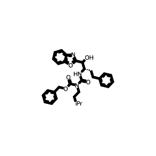 CC(C)CCN(C(=O)N[C@@H](CCc1ccccc1)C(O)c1nc2ccccc2o1)C(=O)OCc1ccccc1